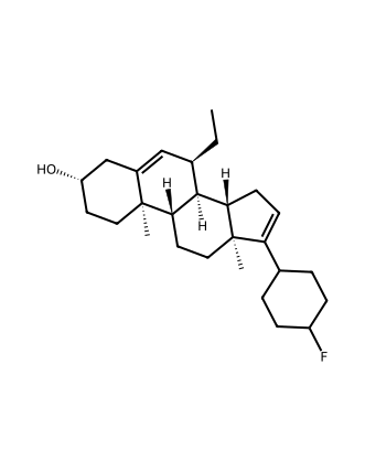 CC[C@@H]1C=C2C[C@@H](O)CC[C@]2(C)[C@H]2CC[C@]3(C)C(C4CCC(F)CC4)=CC[C@H]3[C@H]12